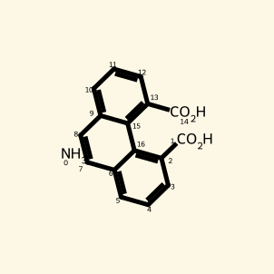 N.O=C(O)c1cccc2ccc3cccc(C(=O)O)c3c12